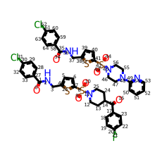 O=C(NCc1ccc(S(=O)(=O)N2CCC(C(=O)c3ccc(F)cc3)CC2)s1)c1ccc(Cl)cc1.O=C(NCc1ccc(S(=O)(=O)N2CCN(c3ccccn3)CC2)s1)c1ccc(Cl)cc1